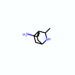 CC1NC2CCC1=C(N)C2